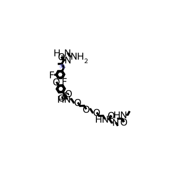 CCNC(=O)CN(C)CC(=O)NCCOCCOCCOCCNS(=O)(=O)c1ccc(Oc2c(F)cc(/C=C(\C)C(=O)N=C(N)N)cc2F)cc1